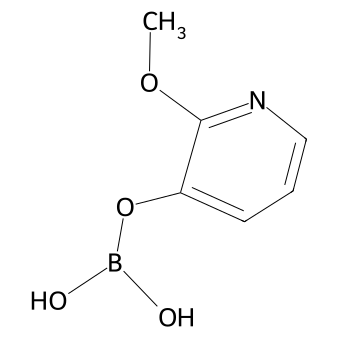 COc1ncccc1OB(O)O